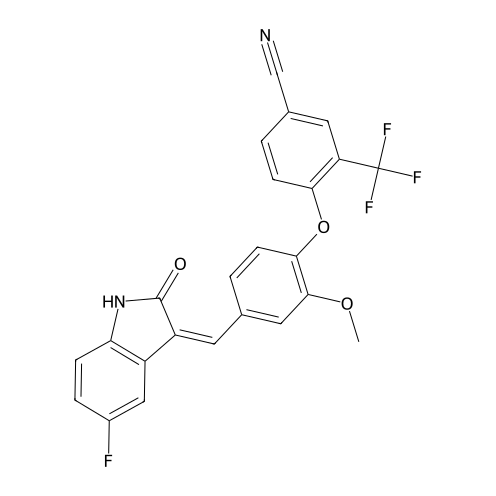 COc1cc(C=C2C(=O)Nc3ccc(F)cc32)ccc1Oc1ccc(C#N)cc1C(F)(F)F